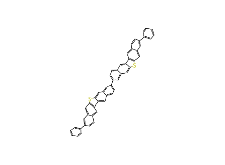 c1ccc(-c2ccc3cc4c(cc3c2)sc2cc3cc(-c5ccc6cc7c(cc6c5)sc5cc6cc(-c8ccccc8)ccc6cc57)ccc3cc24)cc1